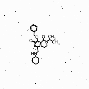 CC(C)N1CCn2c(CNC3CCCCC3)cc(=O)c(OCc3ccccc3)c2C1=O